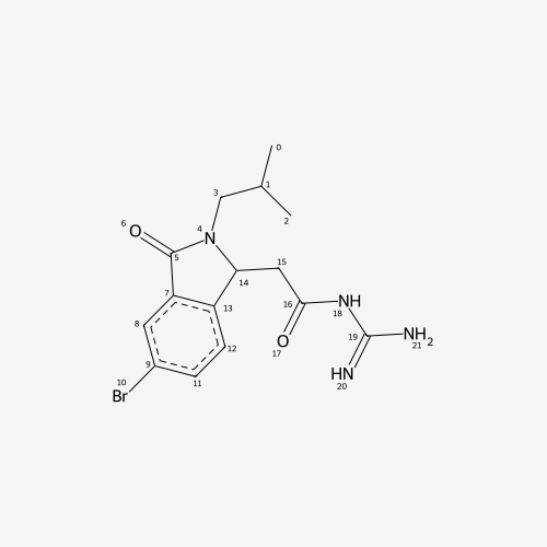 CC(C)CN1C(=O)c2cc(Br)ccc2C1CC(=O)NC(=N)N